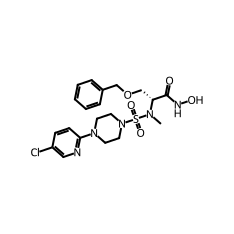 CN([C@H](COCc1ccccc1)C(=O)NO)S(=O)(=O)N1CCN(c2ccc(Cl)cn2)CC1